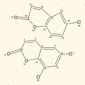 O=c1ccc2cc(Cl)cc(Cl)c2o1.O=c1ccc2cc(Cl)ccc2o1